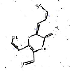 C=CC1=C(/C=C\C)SC(=C/C=C\C)/C(=C\C)N1